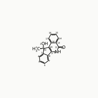 C[C@]1(O)c2ccccc2-c2[nH]c(=O)c3ccccc3c21